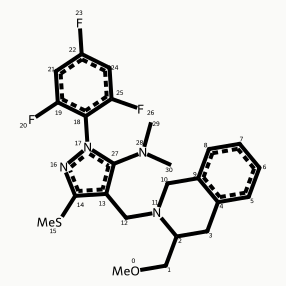 COCC1Cc2ccccc2CN1Cc1c(SC)nn(-c2c(F)cc(F)cc2F)c1N(C)C